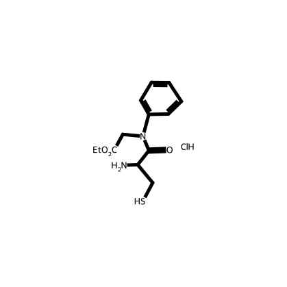 CCOC(=O)CN(C(=O)C(N)CS)c1ccccc1.Cl